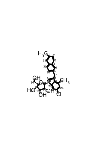 Cc1ccc2cc(Cc3cn([C@@H]4O[C@H](CO)[C@@H](O)[C@H](O)[C@H]4O)c4cc(Cl)cc(C)c34)ccc2c1